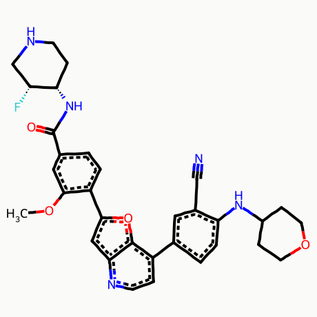 COc1cc(C(=O)N[C@H]2CCNC[C@H]2F)ccc1-c1cc2nccc(-c3ccc(NC4CCOCC4)c(C#N)c3)c2o1